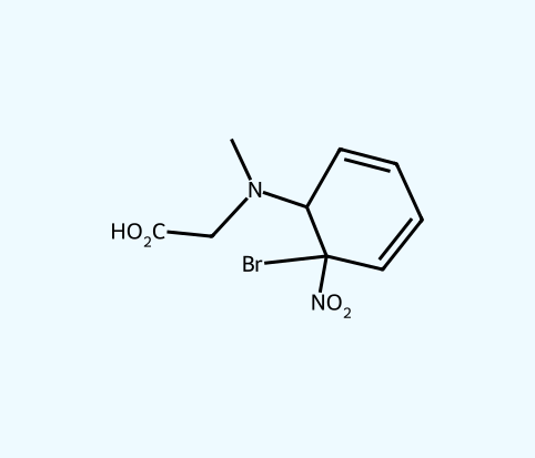 CN(CC(=O)O)C1C=CC=CC1(Br)[N+](=O)[O-]